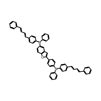 C(/C=C/c1ccc(N(c2ccccc2)c2ccc(-c3cc4cc(N(c5ccccc5)c5ccc(/C=C/C=C/c6ccccc6)cc5)ccc4o3)cc2)cc1)=C\c1ccccc1